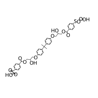 CC(C)(c1ccc(OCC(O)COC(=O)c2ccc(SOOO)cc2)cc1)c1ccc(OCC(O)COC(=O)c2ccc(S(=O)(=O)O)cc2)cc1